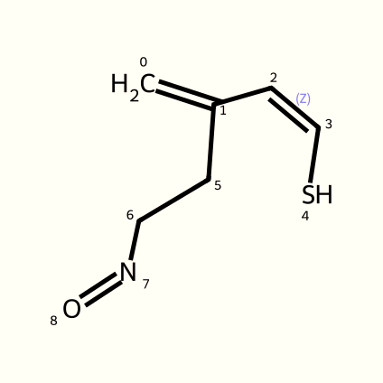 C=C(/C=C\S)CCN=O